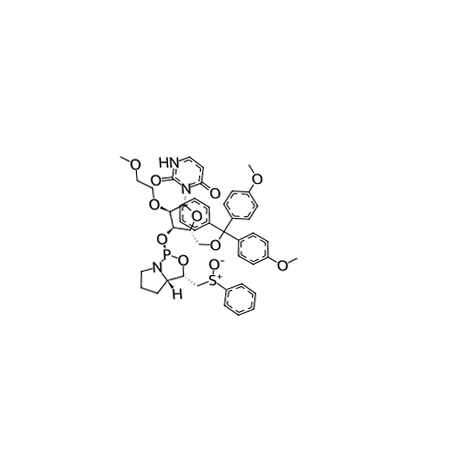 COCCO[C@@H]1[C@H](O[P@@]2O[C@H](C[S+]([O-])c3ccccc3)[C@@H]3CCCN32)[C@@H](COC(c2ccccc2)(c2ccc(OC)cc2)c2ccc(OC)cc2)O[C@H]1n1c(=O)cc[nH]c1=O